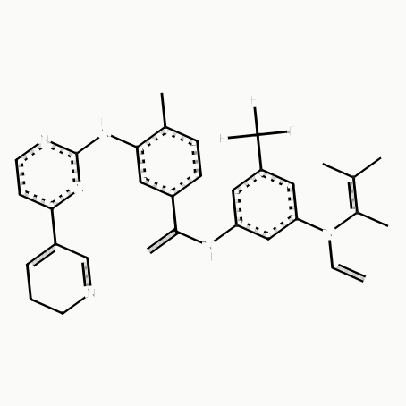 C=CN(C(C)=C(C)C)c1cc(NC(=C)c2ccc(C)c(Nc3nccc(C4=CCCN=C4)n3)c2)cc(C(F)(F)F)c1